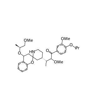 COC[C@H](C)OC1CC2(C[C@@H](C(C)C(OC)C(=O)c3ccc(OC(C)C)c(OC)c3)CCN2)Oc2ccccc21